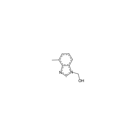 Cc1cccc2c1n[c]n2CO